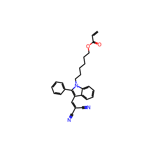 C=CC(=O)OCCCCCCn1c(-c2ccccc2)c(C=C(C#N)C#N)c2ccccc21